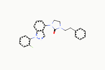 O=C1N(CCc2ccccc2)CCN1c1cccc2c1cnn2-c1ccccc1F